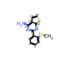 CSc1ccccc1-c1nc(N)c2ccsc2n1